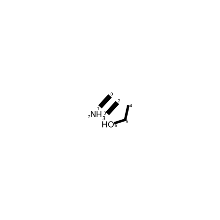 C=C.C=C.CCO.N